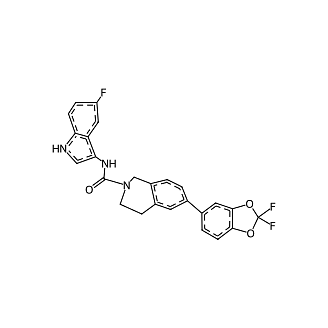 O=C(Nc1c[nH]c2ccc(F)cc12)N1CCc2cc(-c3ccc4c(c3)OC(F)(F)O4)ccc2C1